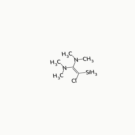 CN(C)C(=C([SiH3])Cl)N(C)C